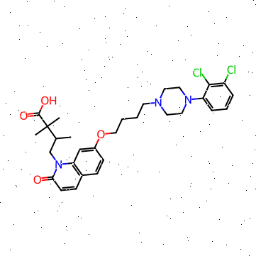 CC(Cn1c(=O)ccc2ccc(OCCCCN3CCN(c4cccc(Cl)c4Cl)CC3)cc21)C(C)(C)C(=O)O